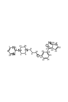 c1cnc(N2CCN(CCCOc3cccc(-c4onc5sccc45)c3)CC2)nc1